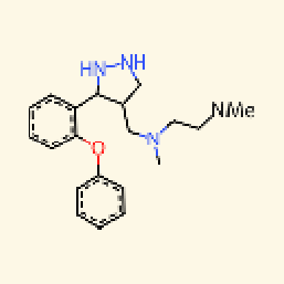 CNCCN(C)CC1CNNC1c1ccccc1Oc1ccccc1